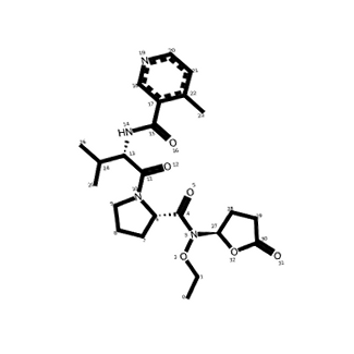 CCON(C(=O)[C@@H]1CCCN1C(=O)[C@@H](NC(=O)c1cnccc1C)C(C)C)[C@H]1CCC(=O)O1